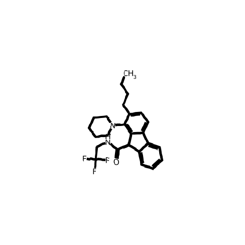 CCCCc1ccc2c(c1N1CCCCC1)C(C(=O)NCC(F)(F)F)c1ccccc1-2